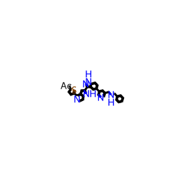 CC(=O)c1ccc(-c2nccc3[nH]c(-c4n[nH]c5ccc(-c6cncc(CNCc7ccccc7)c6)cc45)cc23)s1